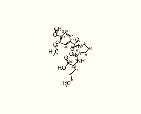 CCCC[C@H](NC(=O)[C@@H]1CCCN1S(=O)(=O)c1ccc(OC)c(OC)c1)C(=O)O